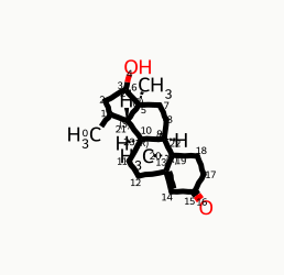 CC1CC(O)[C@@]2(C)CC[C@@H]3[C@@H](CCC4=CC(=O)CC[C@@]43C)[C@H]12